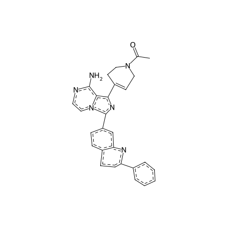 CC(=O)N1CC=C(c2nc(-c3ccc4ccc(-c5ccccc5)nc4c3)n3ccnc(N)c23)CC1